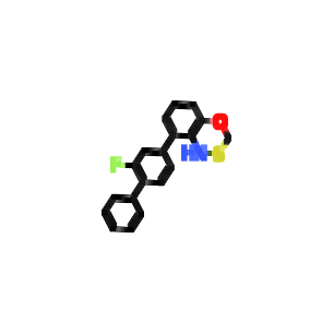 Fc1cc(-c2cccc3c2NSCO3)ccc1-c1ccccc1